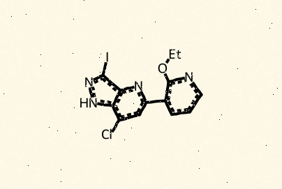 CCOc1ncccc1-c1cc(Cl)c2[nH]nc(I)c2n1